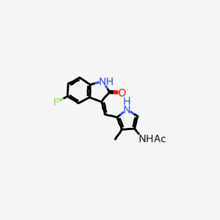 CC(=O)Nc1c[nH]c(C=C2C(=O)Nc3ccc(F)cc32)c1C